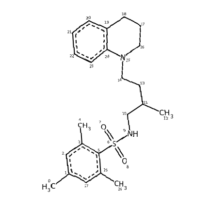 Cc1cc(C)c(S(=O)(=O)NCC(C)CCN2CCCc3ccccc32)c(C)c1